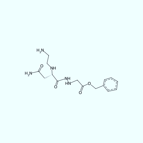 NCCN[C@@H](CC(N)=O)C(=O)NNCC(=O)OCc1ccccc1